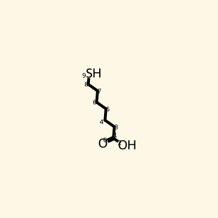 O=C(O)CCCCCCS